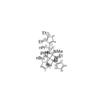 CCCCNC(C1=CC=CC1)(C(NC)(NCC)N(C(C)C)C(C)(CCC)C1=CCC(CC)=C1CC)C(CC)(C1=CC=CC1)C(C)(C)C